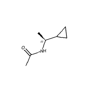 CC(=O)N[C@@H](C)C1CC1